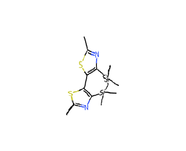 Cc1nc2c(s1)-c1sc(C)nc1[Si](C)(C)[Si]2(C)C